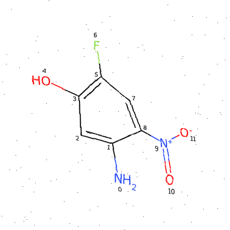 Nc1cc(O)c(F)cc1[N+](=O)[O-]